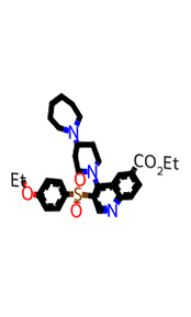 CCOC(=O)c1ccc2ncc(S(=O)(=O)c3ccc(OCC)cc3)c(N3CCC(N4CCCCCC4)CC3)c2c1